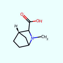 CN1C2CC[C@@H](C2)C1C(=O)O